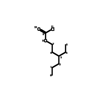 CCCC(CC)CCOC(=O)Cl